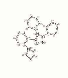 c1ccc(-c2nnc(-c3ccccc3-n3cccn3)n2-c2ccccc2)cc1